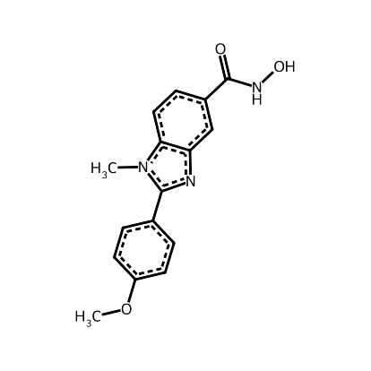 COc1ccc(-c2nc3cc(C(=O)NO)ccc3n2C)cc1